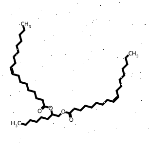 CCCCCCCC/C=C\CCCCCCCC(=O)OCC(CCCCCC)OC(=O)CCCCCCC/C=C\CCCCCCCC